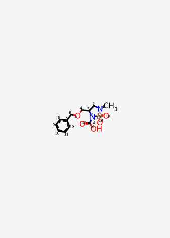 CN1CC(COCc2ccccc2)N(C(=O)O)S1(=O)=O